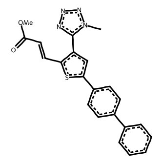 COC(=O)C=Cc1sc(-c2ccc(-c3ccccc3)cc2)cc1-c1nnnn1C